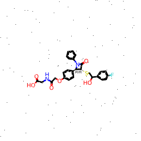 O=C(O)CNC(=O)COc1ccc([C@@H]2[C@@H](SCC(O)c3ccc(F)cc3)C(=O)N2c2ccccc2)cc1